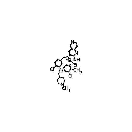 Cc1c(Cl)cccc1S(=O)(=O)Nc1nc2ccncc2cc1OCc1ccc(Cl)c(OCC2CCN(C)CC2)c1